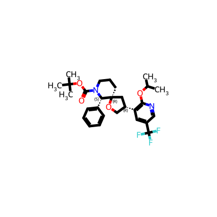 CC(C)Oc1ncc(C(F)(F)F)cc1[C@@H]1CO[C@]2(CCCN(C(=O)OC(C)(C)C)[C@H]2c2ccccc2)C1